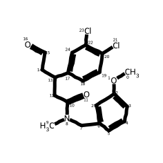 COc1cccc(CN(C)C(=O)CC(CC=O)c2ccc(Cl)c(Cl)c2)c1